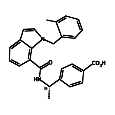 Cc1ccccc1Cn1ccc2cccc(C(=O)N[C@@H](C)c3ccc(C(=O)O)cc3)c21